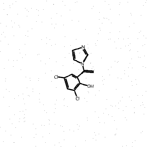 C=C(c1cc(Cl)cc(Cl)c1O)n1ccnc1